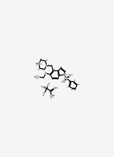 CCOc1ccc2c(ccn2S(=O)(=O)c2ccccc2)c1CN1CCNCC1.O=C(O)C(F)(F)F